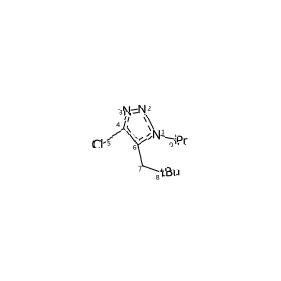 CC(C)n1nnc(Cl)c1CC(C)(C)C